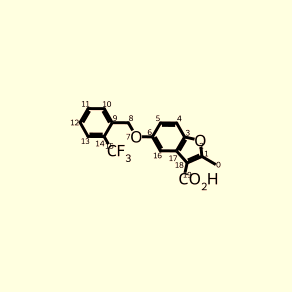 Cc1oc2ccc(OCc3ccccc3C(F)(F)F)cc2c1C(=O)O